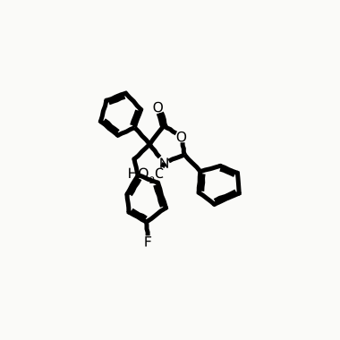 O=C(O)N1C(c2ccccc2)OC(=O)C1(Cc1ccc(F)cc1)c1ccccc1